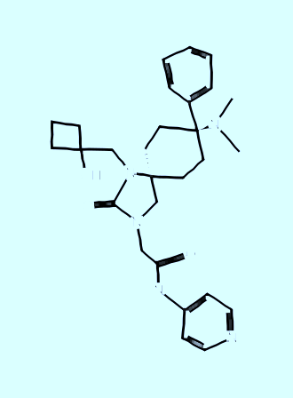 CN(C)[C@]1(c2ccccc2)CC[C@]2(CC1)CN(CC(=O)Nc1ccncc1)C(=O)N2CC1(O)CCC1